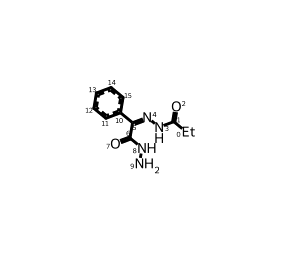 CCC(=O)NN=C(C(=O)NN)c1ccccc1